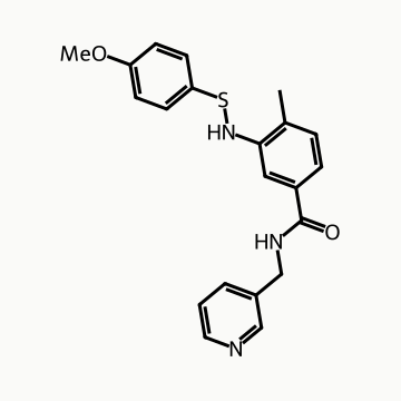 COc1ccc(SNc2cc(C(=O)NCc3cccnc3)ccc2C)cc1